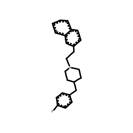 Fc1ccc(CC2CCN(CCc3ccc4ccccc4c3)CC2)cc1